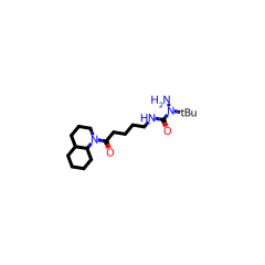 CC(C)(C)N(N)C(=O)NCCCCC(=O)N1CCCC2CCCCC21